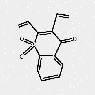 C=CC1=C(C=C)S(=O)(=O)c2ccccc2C1=O